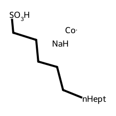 CCCCCCCCCCCCS(=O)(=O)O.[Co].[NaH]